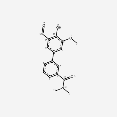 COc1cc(-c2cccc(C(=O)N(C)C)c2)cc(C=O)c1O